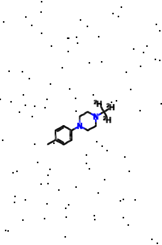 [2H]C([2H])([2H])N1CCN(c2ccc(C)cc2)CC1